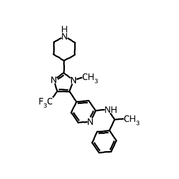 CC(Nc1cc(-c2c(C(F)(F)F)nc(C3CCNCC3)n2C)ccn1)c1ccccc1